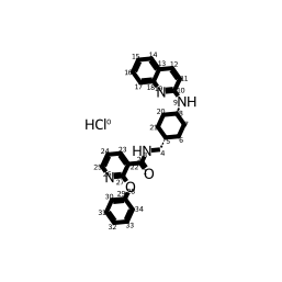 Cl.O=C(NC[C@H]1CC[C@@H](Nc2ccc3ccccc3n2)CC1)c1cccnc1Oc1ccccc1